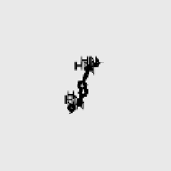 C[C@H]1CN[C@H](c2nc(C#Cc3ccc4cc(-c5cnc([C@@H]6C[C@@H](C)CN6)[nH]5)ccc4c3)c[nH]2)C1